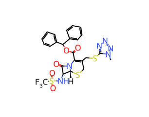 Cn1nnnc1SCC1=C(C(=O)OC(c2ccccc2)c2ccccc2)N2C(=O)C(NS(=O)(=O)C(F)(F)F)[C@H]2SC1